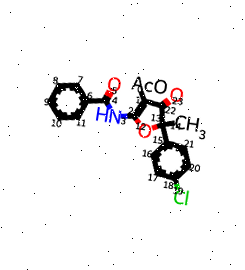 CC(=O)OC1=C(NC(=O)c2ccccc2)OC(C)(c2ccc(Cl)cc2)C1=O